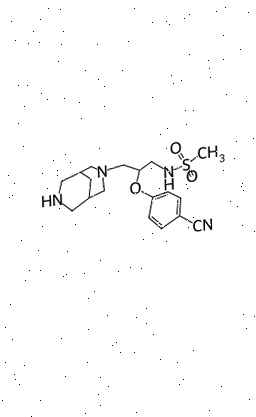 CS(=O)(=O)NCC(CN1CC2CNCC(C2)C1)Oc1ccc(C#N)cc1